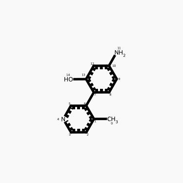 Cc1ccncc1-c1ccc(N)cc1O